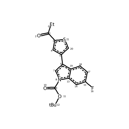 CCC(=O)c1cc(-c2cn(C(=O)OC(C)(C)C)c3cc(F)ccc23)cs1